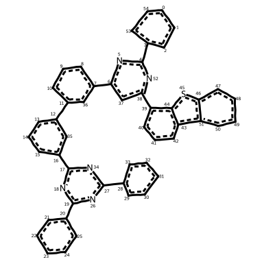 c1ccc(-c2nc(-c3cccc(-c4cccc(-c5nc(-c6ccccc6)nc(-c6ccccc6)n5)c4)c3)cc(-c3cccc4c3sc3ccccc34)n2)cc1